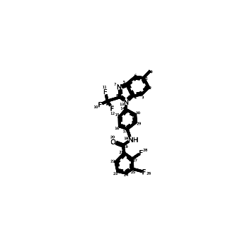 Cc1ccc2c(c1)nc(C(F)(F)F)n2-c1ccc(NC(=O)c2cccc(F)c2F)cc1